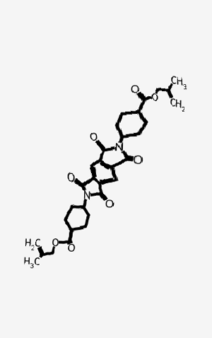 C=C(C)COC(=O)C1CCC(n2c(=O)c3cc4c(=O)n(C5CCC(C(=O)OCC(=C)C)CC5)c(=O)c4cc3c2=O)CC1